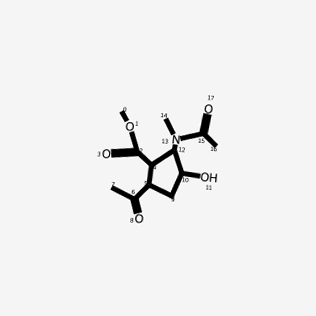 COC(=O)C1C(C(C)=O)CC(O)C1N(C)C(C)=O